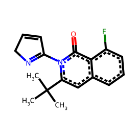 CC(C)(C)c1cc2cccc(F)c2c(=O)n1C1=NCC=C1